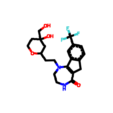 O=C1NCCN(CCC2CC(O)(CO)CCO2)C2=C1Cc1ccc(C(F)(F)F)cc12